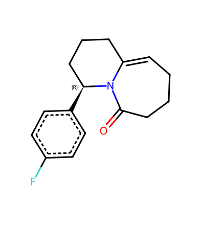 O=C1CCCC=C2CCC[C@H](c3ccc(F)cc3)N12